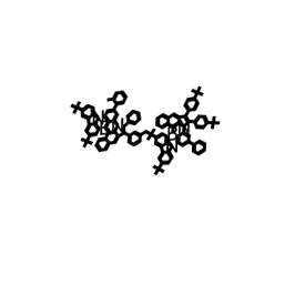 Cc1ccccc1-c1cc2c3c(c1)-n1c4ccc(C(C)(C)C)cc4c4cc(C(C)(C)C)cc(c41)B3c1c3ccccc3cc3c(-c4cccc(CC(C)(C)c5cc6c7c(c5)c5cc(C(C)(C)C)ccc5n7-c5cc(-c7ccccc7)cc7c5B6c5c6ccccc6cc6c(-c8ccc(C(C)(C)C)cc8)c(-c8ccc(C(C)(C)C)cc8)n-7c56)c4)c(-c4ccccc4)n-2c13